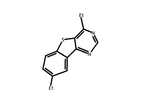 CCc1ccc2sc3c(CC)ncnc3c2c1